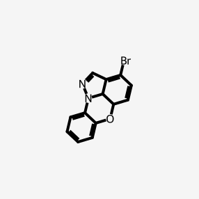 BrC1=C2C=NN3c4ccccc4OC(C=C1)C23